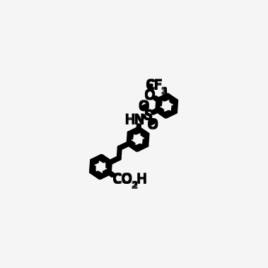 O=C(O)c1ccccc1CCc1cccc(NS(=O)(=O)c2ccccc2OC(F)(F)F)c1